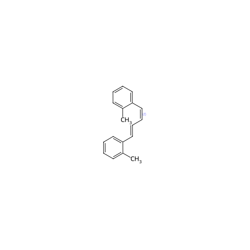 Cc1ccccc1C=C/C=C\c1ccccc1C